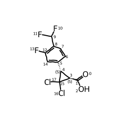 O=C(O)[C@@H]1[C@@H](c2ccc(C(F)F)c(F)c2)C1(Cl)Cl